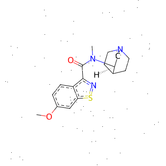 COc1ccc2c(C(=O)N(C)[C@H]3CN4CCC3CC4)nsc2c1